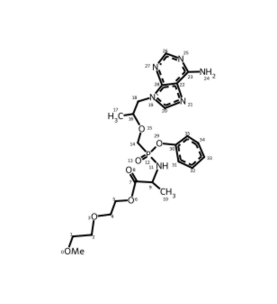 COCCOCCOC(=O)C(C)NP(=O)(COC(C)Cn1cnc2c(N)ncnc21)Oc1ccccc1